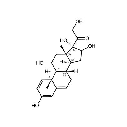 C[C@]12C=CC(O)=CC1=CC[C@@H]1[C@@H]2C(O)C[C@@]2(C)[C@H]1CC(O)[C@]2(O)C(=O)CO